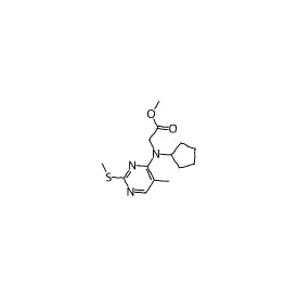 COC(=O)CN(c1nc(SC)ncc1C)C1CCCC1